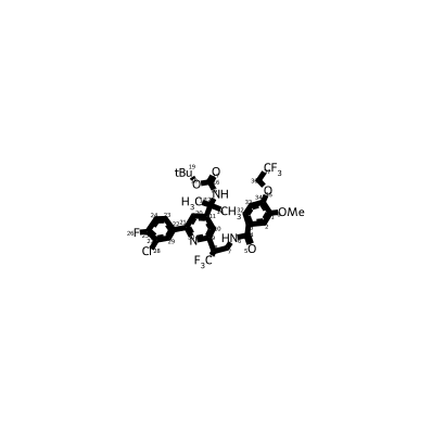 COc1cc(C(=O)NCC(c2cc(C(C)(C)NC(=O)OC(C)(C)C)cc(-c3ccc(F)c(Cl)c3)n2)C(F)(F)F)ccc1OCC(F)(F)F